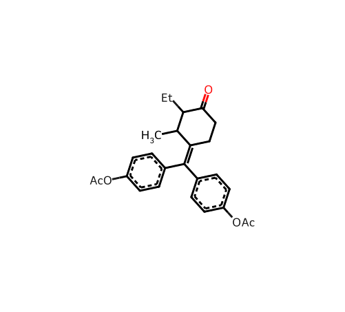 CCC1C(=O)CCC(=C(c2ccc(OC(C)=O)cc2)c2ccc(OC(C)=O)cc2)C1C